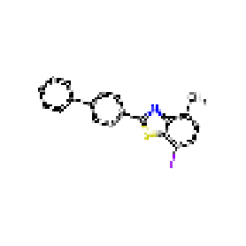 Cc1ccc(I)c2sc(-c3ccc(-c4ccccc4)cc3)nc12